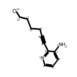 Nc1cccnc1C#CCCCCCl